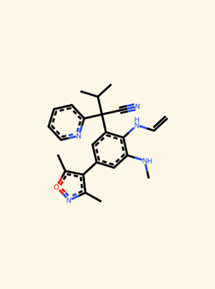 C=CNc1c(NC)cc(-c2c(C)noc2C)cc1C(C#N)(c1ccccn1)C(C)C